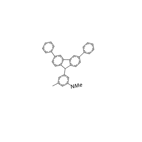 CNc1cc(C)cc(C2c3ccc(-c4ccccc4)cc3-c3cc(-c4ccccc4)ccc32)c1